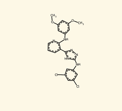 COc1cc(Nc2ncccc2-c2nnc(Nc3cc(Cl)cc(Cl)c3)[nH]2)cc(OC)c1